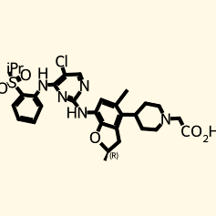 Cc1cc(Nc2ncc(Cl)c(Nc3ccccc3S(=O)(=O)C(C)C)n2)c2c(c1C1CCN(CC(=O)O)CC1)C[C@@H](C)O2